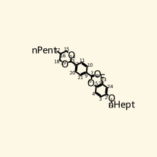 CCCCCCCOc1ccc(OC(=O)c2ccc(C3OCC(CCCCC)CO3)cc2)c(F)c1